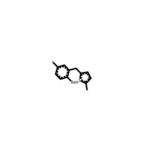 Cc1ccc(Cc2cc(I)cc[c]2[RaH])s1